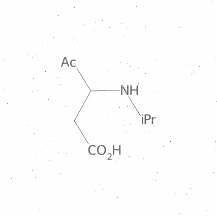 CC(=O)C(CC(=O)O)NC(C)C